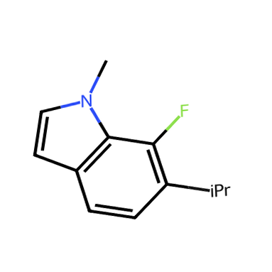 CC(C)c1ccc2ccn(C)c2c1F